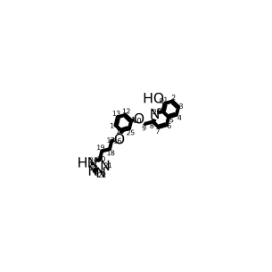 Oc1cccc2ccc(COc3cccc(OCCCc4nnn[nH]4)c3)nc12